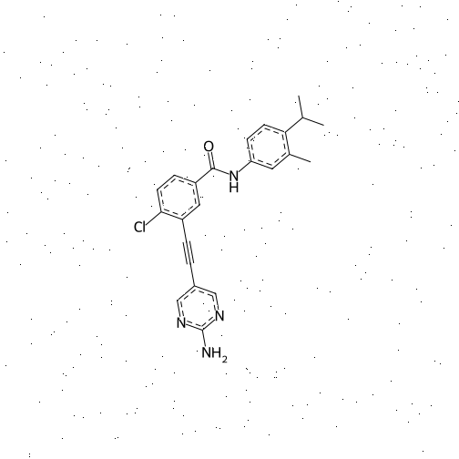 Cc1cc(NC(=O)c2ccc(Cl)c(C#Cc3cnc(N)nc3)c2)ccc1C(C)C